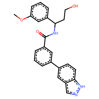 COc1cccc(C(CCO)NC(=O)c2cccc(-c3ccc4[nH]ncc4c3)c2)c1